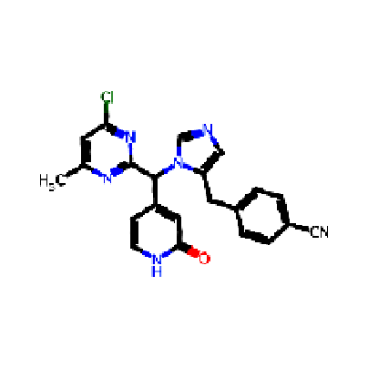 Cc1cc(Cl)nc(C(c2cc[nH]c(=O)c2)n2cncc2Cc2ccc(C#N)cc2)n1